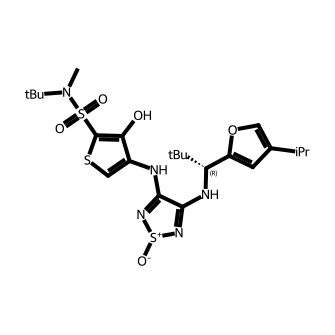 CC(C)c1coc([C@H](Nc2n[s+]([O-])nc2Nc2csc(S(=O)(=O)N(C)C(C)(C)C)c2O)C(C)(C)C)c1